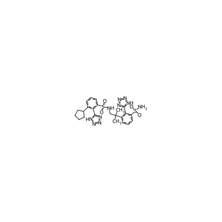 CC(C)(CNS(=O)(=O)c1cccc(C2CCCC2)c1-c1nnn[nH]1)c1cccc(S(N)(=O)=O)c1-c1nnn[nH]1